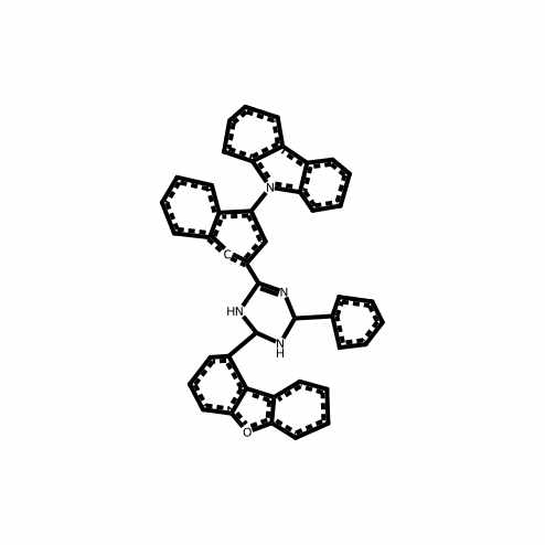 c1ccc(C2N=C(c3cc(-n4c5ccccc5c5ccccc54)c4ccccc4c3)NC(c3cccc4oc5ccccc5c34)N2)cc1